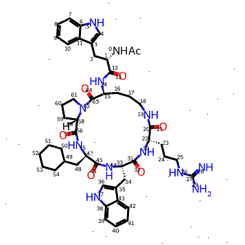 CC(=O)N[C@@H](Cc1c[nH]c2ccccc12)C(=O)N[C@H]1CCCNC(=O)[C@H](CCCNC(=N)N)NC(=O)[C@H](Cc2c[nH]c3ccccc23)NC(=O)[C@@H](CC2CCCCC2)NC(=O)[C@@H]2CCCN2C1=O